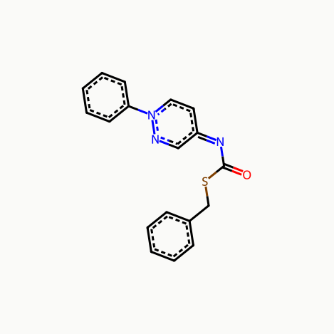 O=C(N=c1ccn(-c2ccccc2)nc1)SCc1ccccc1